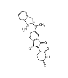 CN(c1ccc2c(c1)C(=O)N(C1CCC(=O)NC1=O)C2=O)[C@@H]1Cc2ccccc2[C@H]1N